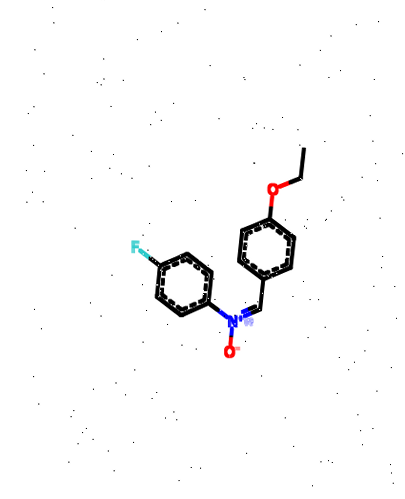 CCOc1ccc(/C=[N+](/[O-])c2ccc(F)cc2)cc1